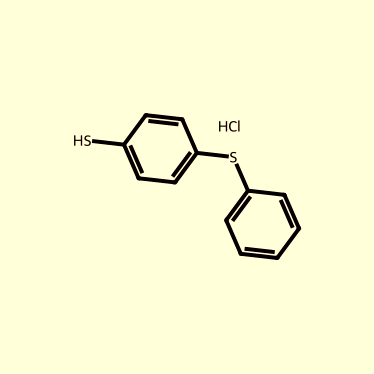 Cl.Sc1ccc(Sc2ccccc2)cc1